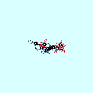 Cc1ccc(/C=C/C(=O)OC2C(C)OC(OC(=O)[C@@H]3CC(C)(C)C[C@@H]4C3[C@H](O)C[C@]3(C)C4C=C[C@@H]4[C@@]5(C)CC[C@H](OC6OC(OC=O)C(O)C(OC7OCC(O)C(O)C7O)C6OC6OC(CO)C(O)C(O)C6O)[C@@](C)(C=O)[C@@H]5CC[C@]43C)C(OC3CC(C)C(O)C(O)C3O)C2O)cc1